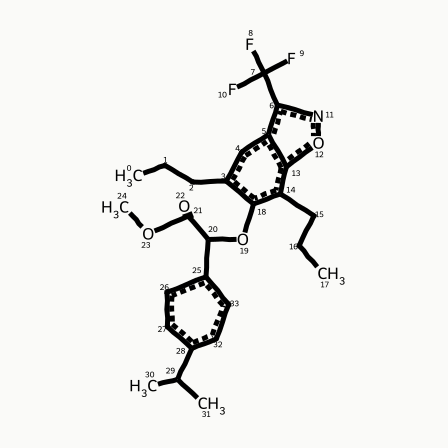 CCCc1cc2c(C(F)(F)F)noc2c(CCC)c1OC(C(=O)OC)c1ccc(C(C)C)cc1